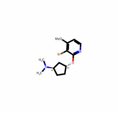 COc1ccnc(O[C@@H]2CC[C@@H](N(C)C)C2)c1Br